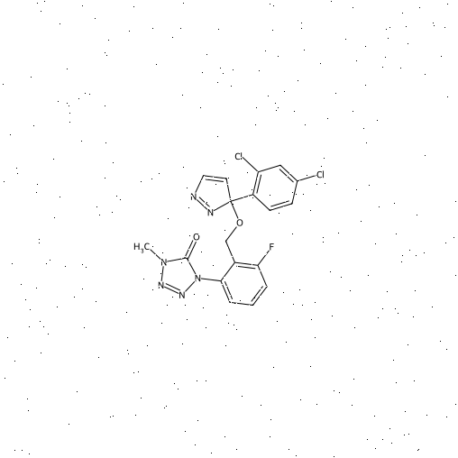 Cn1nnn(-c2cccc(F)c2COC2(c3ccc(Cl)cc3Cl)C=CN=N2)c1=O